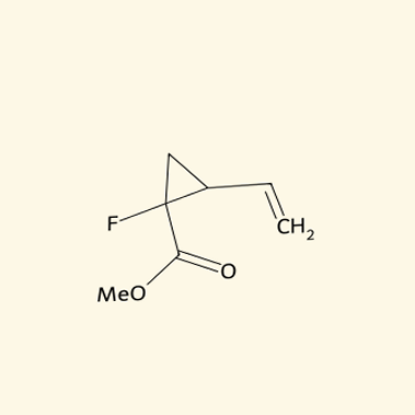 C=CC1CC1(F)C(=O)OC